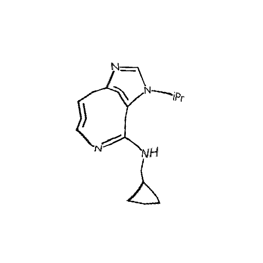 CC(C)n1cnc2ccnc(NC3CC3)c21